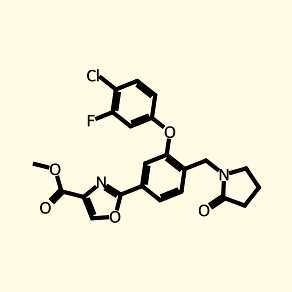 COC(=O)c1coc(-c2ccc(CN3CCCC3=O)c(Oc3ccc(Cl)c(F)c3)c2)n1